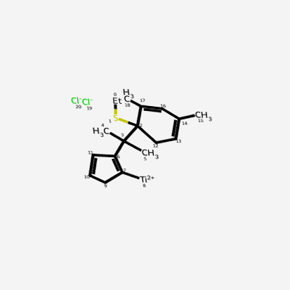 CCSC1(C(C)(C)C2=[C]([Ti+2])CC=C2)CC=C(C)C=C1C.[Cl-].[Cl-]